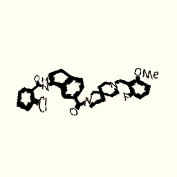 COc1cccc(F)c1CN1CCC2(CC1)CCN(C(=O)c1ccc3c(c1)C(NC(=O)c1ccccc1Cl)CC3)C2